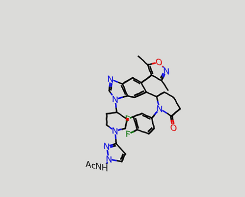 CC(=O)Nn1ccc(N2CCC(n3cnc4cc(-c5c(C)noc5C)c(C5CCCC(=O)N5c5ccc(F)c(F)c5)cc43)CC2)n1